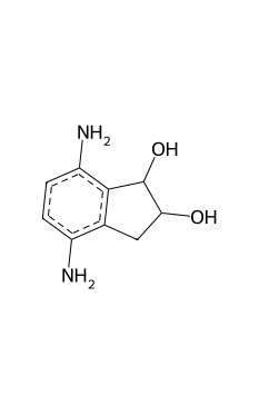 Nc1ccc(N)c2c1CC(O)C2O